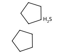 C1CCCC1.C1CCCC1.S